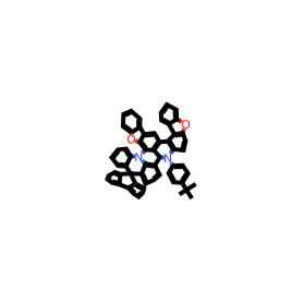 CC(C)(C)c1ccc(N2c3ccc4oc5ccccc5c4c3-c3cc4c(oc5ccccc54)c4c3C2c2cccc3c2N4c2ccccc2C32c3ccccc3-c3ccccc32)cc1